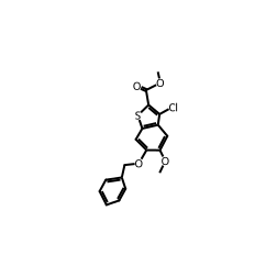 COC(=O)c1sc2cc(OCc3ccccc3)c(OC)cc2c1Cl